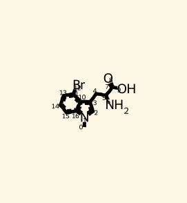 Cn1cc(CC(N)C(=O)O)c2c(Br)cccc21